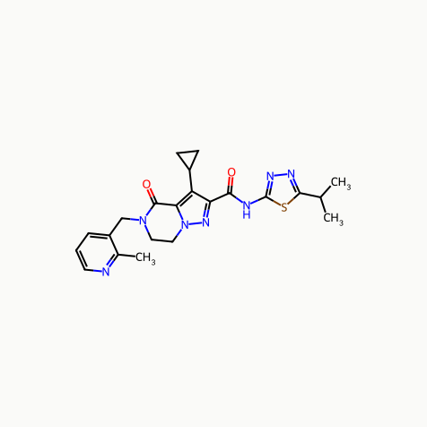 Cc1ncccc1CN1CCn2nc(C(=O)Nc3nnc(C(C)C)s3)c(C3CC3)c2C1=O